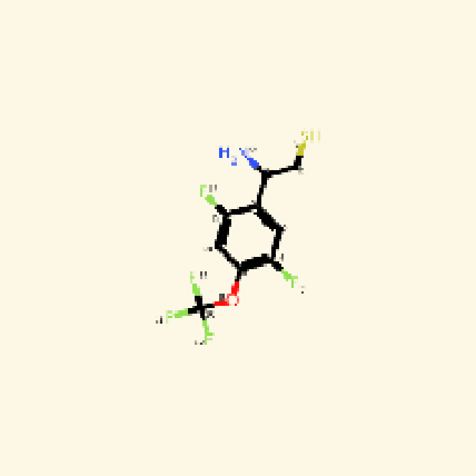 NC(CS)c1cc(F)c(OC(F)(F)F)cc1F